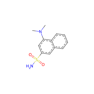 CN(C)c1cc(S(N)(=O)=O)cc2ccccc12